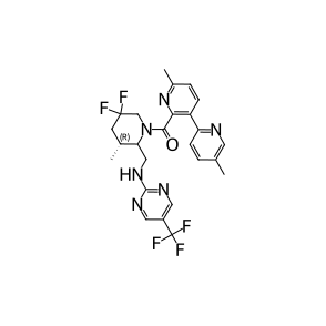 Cc1ccc(-c2ccc(C)nc2C(=O)N2CC(F)(F)C[C@@H](C)C2CNc2ncc(C(F)(F)F)cn2)nc1